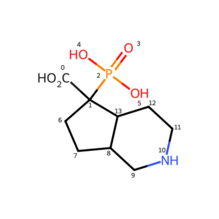 O=C(O)C1(P(=O)(O)O)CCC2CNCCC21